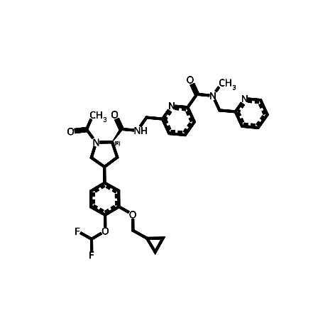 CC(=O)N1CC(c2ccc(OC(F)F)c(OCC3CC3)c2)C[C@@H]1C(=O)NCc1cccc(C(=O)N(C)Cc2ccccn2)n1